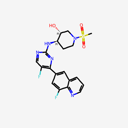 CS(=O)(=O)N1CC[C@@H](Nc2ncc(F)c(-c3cc(F)c4ncccc4c3)n2)[C@H](O)C1